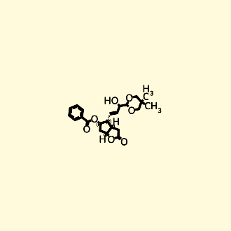 CC1(C)COC(C(O)C=C[C@@H]2[C@H]3CC(=O)O[C@H]3C[C@H]2OC(=O)c2ccccc2)OC1